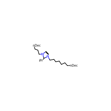 CCCCCCCCCCCCCCCCCN1C=CN(CCCCCCCCCCCCC)C1C(C)C